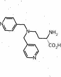 N[C@@H](CCN(Cc1ccncc1)Cc1ccncc1)C(=O)O